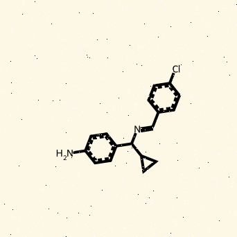 Nc1ccc(C(N=Cc2ccc(Cl)cc2)C2CC2)cc1